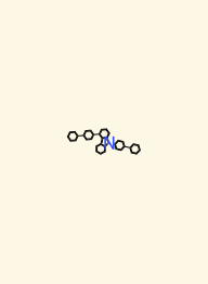 c1ccc(-c2ccc(-c3cccc4c3c3ccccc3n4-c3ccc(-c4ccccc4)cc3)cc2)cc1